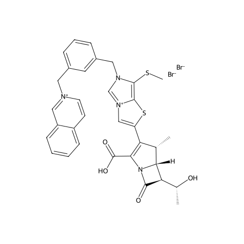 CSc1c2sc(C3=C(C(=O)O)N4C(=O)[C@H]([C@@H](C)O)[C@H]4[C@H]3C)c[n+]2cn1Cc1cccc(C[n+]2ccc3ccccc3c2)c1.[Br-].[Br-]